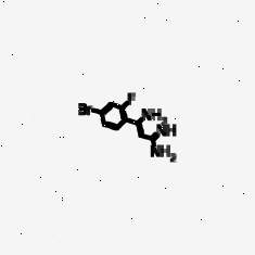 N=C(N)/C=C(\N)c1ccc(Br)cc1F